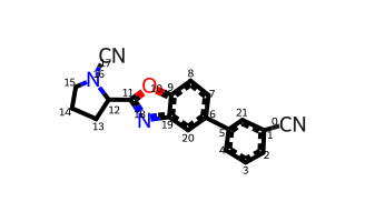 N#Cc1cccc(-c2ccc3oc(C4CCCN4C#N)nc3c2)c1